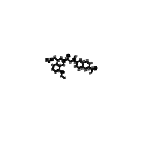 CCOc1ccccc1CN(CCCN)C(=O)CN(C)c1ccc2cc(C(C)=O)ccc2c1